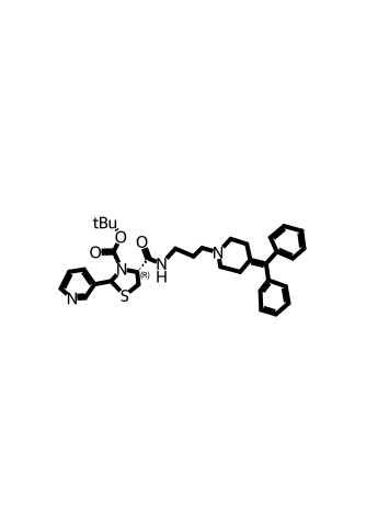 CC(C)(C)OC(=O)N1C(c2cccnc2)SC[C@H]1C(=O)NCCCN1CCC(=C(c2ccccc2)c2ccccc2)CC1